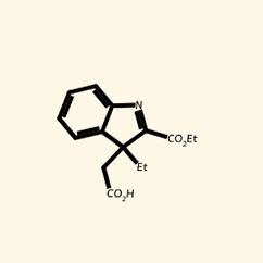 CCOC(=O)C1=Nc2ccccc2C1(CC)CC(=O)O